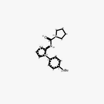 CCCCc1ccc(-n2ccsc2=NC(=O)N2CCCC2)cc1